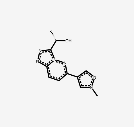 C[C@H](O)c1nnc2ccc(-c3cnn(C)c3)nn12